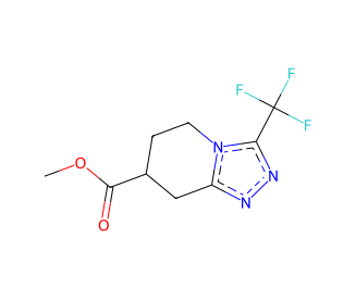 COC(=O)C1CCn2c(nnc2C(F)(F)F)C1